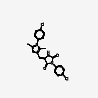 Cc1cc(C=C2NC(=O)N(c3ccc(Cl)cc3)C2=O)c(C)n1-c1ccc(Cl)cc1